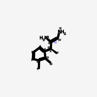 Cc1cccc([C@H](C)/C(N)=C/N)c1C